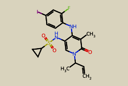 C=CC(C)n1cc(NS(=O)(=O)C2CC2)c(Nc2ccc(I)cc2F)c(C)c1=O